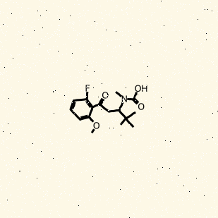 COc1cccc(F)c1C(=O)CC(N(C)C(=O)O)C(C)(C)C